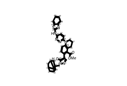 COC(=O)c1c(-c2cnn(CC34CC5CC(CC(C5)C3)C4)c2C)ccc2c1CCCN2c1ccc(Nc2nc3ccccc3s2)nn1